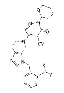 N#Cc1c(N2CCc3ncn(Cc4ccccc4C(F)F)c3C2)cnn(C2CCCCO2)c1=O